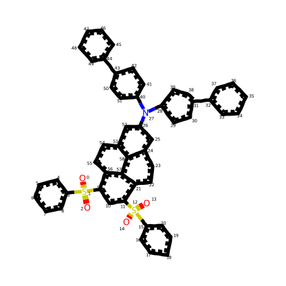 O=S(=O)(c1ccccc1)c1cc(S(=O)(=O)c2ccccc2)c2ccc3cc(N(c4ccc(-c5ccccc5)cc4)c4ccc(-c5ccccc5)cc4)cc4ccc1c2c43